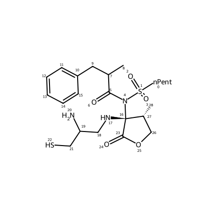 CCCCCS(=O)(=O)N(C(=O)C(C)Cc1ccccc1)[C@@]1(NCC(N)CS)C(=O)OC[C@H]1C